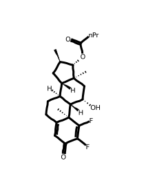 CCCC(=O)O[C@H]1[C@H](C)C[C@H]2[C@@H]3CCC4=CC(=O)C(F)=C(F)[C@]4(C)[C@H]3[C@@H](O)C[C@@]21C